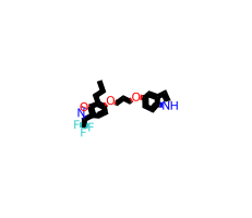 CCCc1c(OCCCOc2ccc3[nH]ccc3c2)ccc2c(C(F)(F)F)noc12